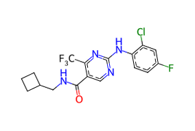 O=C(NCC1CCC1)c1cnc(Nc2ccc(F)cc2Cl)nc1C(F)(F)F